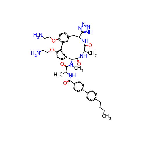 CCCCc1ccc(-c2ccc(C(=O)N[C@@H](C)C(=O)N(C)[C@@H]3C(=O)N[C@@H](C)C(=O)N[C@H](c4nnn[nH]4)Cc4ccc(OCCN)c(c4)-c4cc3ccc4OCCN)cc2)cc1